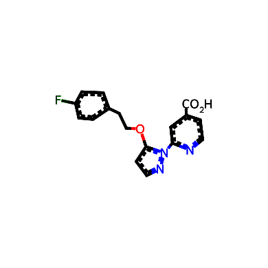 O=C(O)c1ccnc(-n2nccc2OCCc2ccc(F)cc2)c1